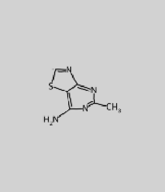 Cc1nc(N)c2s[c]nc2n1